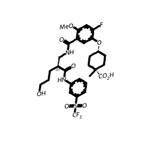 COc1cc(F)c(O[C@H]2CC[C@@](C)(C(=O)O)CC2)cc1C(=O)NC[C@H](CCCO)C(=O)Nc1cccc(S(=O)(=O)C(F)(F)F)c1